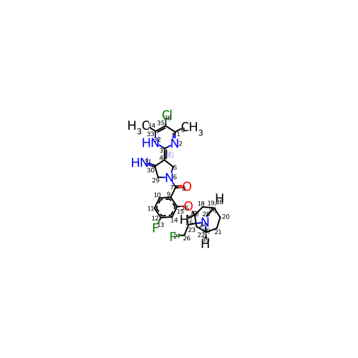 CC1=N/C(=C2\CN(C(=O)c3ccc(F)cc3O[C@@H]3C[C@H]4CC[C@H](C3)N(CCF)C4)CC2=N)NC(C)=C1Cl